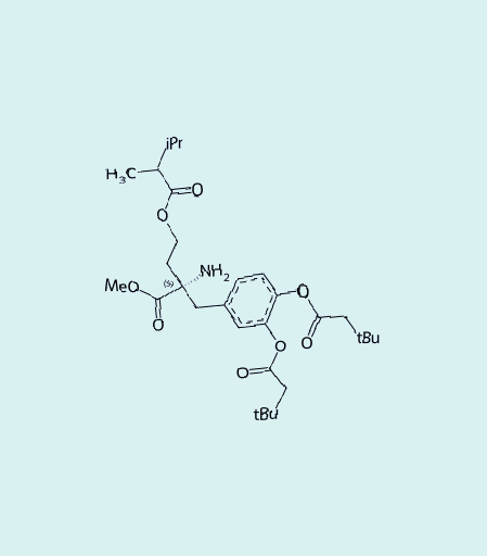 COC(=O)[C@@](N)(CCOC(=O)C(C)C(C)C)Cc1ccc(OC(=O)CC(C)(C)C)c(OC(=O)CC(C)(C)C)c1